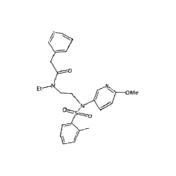 CCN(CCN(c1ccc(OC)nc1)S(=O)(=O)c1ccccc1C)C(=O)Cc1ccccc1